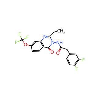 CCc1nc2cc(OC(F)(F)F)ccc2c(=O)n1NC(=O)Cc1ccc(F)c(F)c1